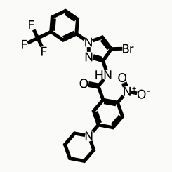 O=C(Nc1nn(-c2cccc(C(F)(F)F)c2)cc1Br)c1cc(N2CCCCC2)ccc1[N+](=O)[O-]